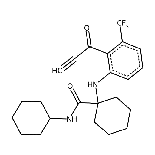 C#CC(=O)c1c(NC2(C(=O)NC3CCCCC3)CCCCC2)cccc1C(F)(F)F